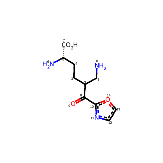 NCC(CC[C@H](N)C(=O)O)C(=O)c1ncco1